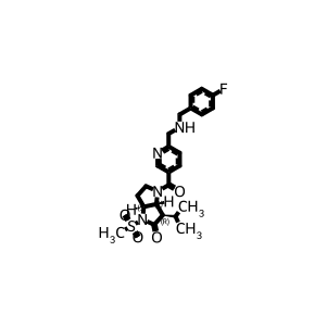 CC(C)[C@H]1C(=O)N(S(C)(=O)=O)[C@H]2CCN(C(=O)c3ccc(CNCc4ccc(F)cc4)nc3)[C@H]12